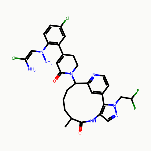 CC1CCCC(N2CCC(c3cc(Cl)ccc3N(N)/C=C(\N)Cl)=CC2=O)c2cc(ccn2)-c2c(cnn2CC(F)F)NC1=O